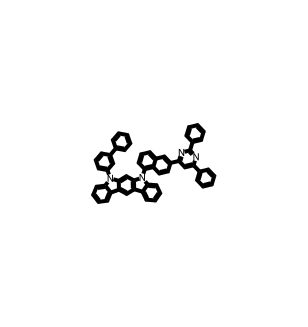 c1ccc(-c2cccc(-n3c4ccccc4c4cc5c6ccccc6n(-c6cccc7cc(-c8cc(-c9ccccc9)nc(-c9ccccc9)n8)ccc67)c5cc43)c2)cc1